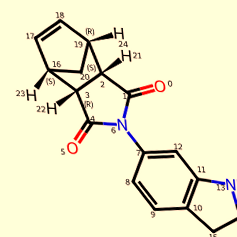 O=C1[C@@H]2[C@H](C(=O)N1c1ccc3c(c1)NCC3)[C@@H]1C=C[C@H]2C1